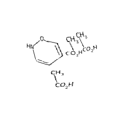 C1=CNOC=C1.CC(=O)O.CC(=O)O.CC(=O)O